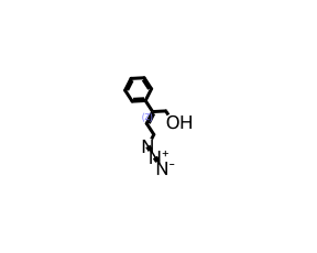 [N-]=[N+]=NC/C=C(\CO)c1ccccc1